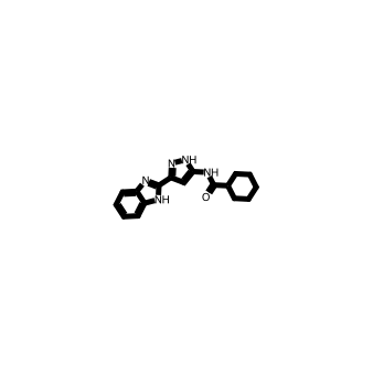 O=C(Nc1cc(-c2nc3ccccc3[nH]2)n[nH]1)C1CCCCC1